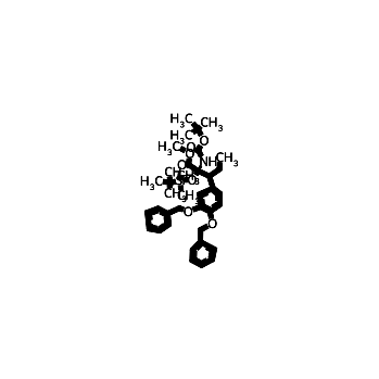 CCC(c1ccc(OCc2ccccc2)c(OCc2ccccc2)c1)[C@](NC(=O)OC(C)(C)C)(O[Si](C)(C)C(C)(C)C)C(=O)OC